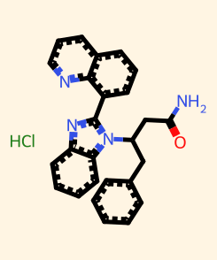 Cl.NC(=O)CC(Cc1ccccc1)n1c(-c2cccc3cccnc23)nc2ccccc21